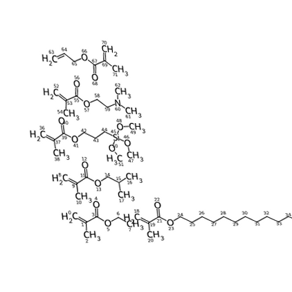 C=C(C)C(=O)OCC.C=C(C)C(=O)OCC(C)C.C=C(C)C(=O)OCCCCCCCCCCCC.C=C(C)C(=O)OCCC[Si](OC)(OC)OC.C=C(C)C(=O)OCCN(C)C.C=CCOC(=O)C(=C)C